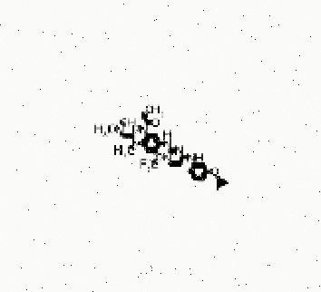 C=CC(=O)Nc1cc(Nc2nccc(Nc3cccc(OC4CC4)c3)n2)c(OC(F)(F)F)cc1N(C)CCN(C)C